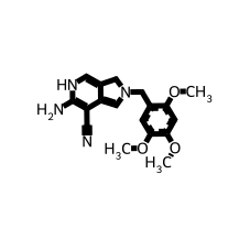 COc1cc(OC)c(OC)cc1CN1C=C2C(=CNC(N)=C2C#N)C1